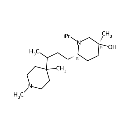 CC(C)N1C[C@@](C)(O)CC[C@@H]1CCC(C)C1(C)CCN(C)CC1